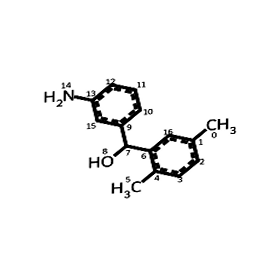 Cc1ccc(C)c(C(O)c2cccc(N)c2)c1